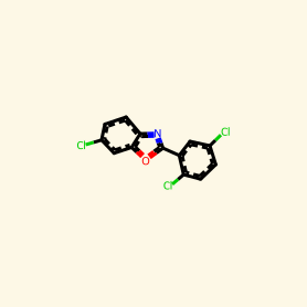 Clc1ccc(Cl)c(-c2nc3ccc(Cl)cc3o2)c1